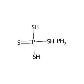 P.S=P(S)(S)S